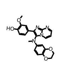 COc1cc(-c2nc3ncccn3c2N(C)c2ccc3c(c2)OCCO3)ccc1O